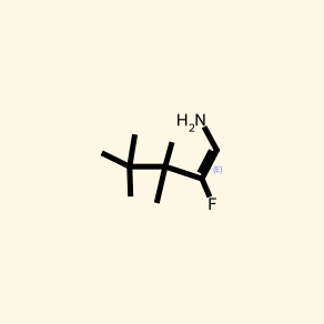 CC(C)(C)C(C)(C)/C(F)=C\N